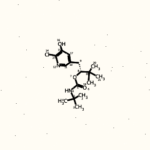 CC(C)(C)NC(=O)O[C@H](Cc1cnc(Cl)c(O)c1)C(C)(C)C